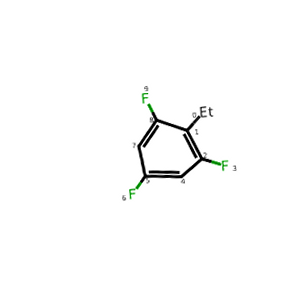 [CH2]Cc1c(F)cc(F)cc1F